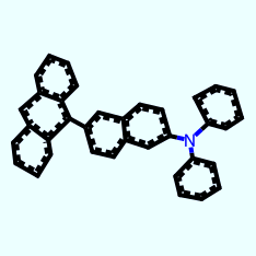 c1ccc(N(c2ccccc2)c2ccc3cc(-c4c5ccccc5cc5ccccc45)ccc3c2)cc1